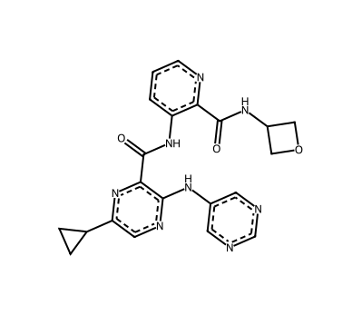 O=C(NC1COC1)c1ncccc1NC(=O)c1nc(C2CC2)cnc1Nc1cncnc1